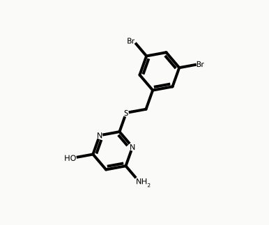 Nc1cc(O)nc(SCc2cc(Br)cc(Br)c2)n1